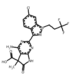 CC1(C(=O)O)C(=O)Nc2nc(-c3nn(CCC(F)(F)F)c4cc(Cl)ccc34)nc(N)c21